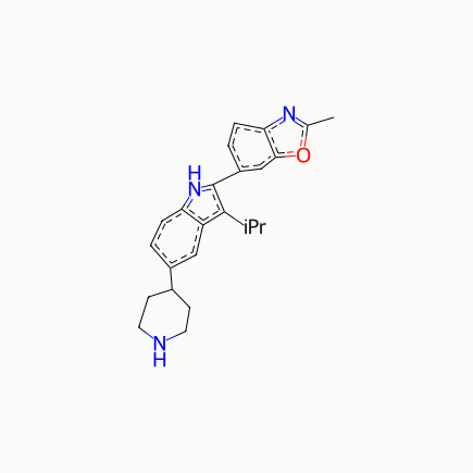 Cc1nc2ccc(-c3[nH]c4ccc(C5CCNCC5)cc4c3C(C)C)cc2o1